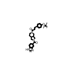 O=C(/C=C/c1ccc(OC(F)(F)F)cc1)N1CCC2CN(C(=O)c3ccc4[nH]nnc4c3)CC2C1